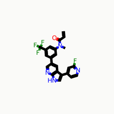 C=CC(=O)N(C)c1cc(-c2cnc3[nH]cc(-c4ccnc(F)c4)c3c2)cc(C(F)(F)F)c1